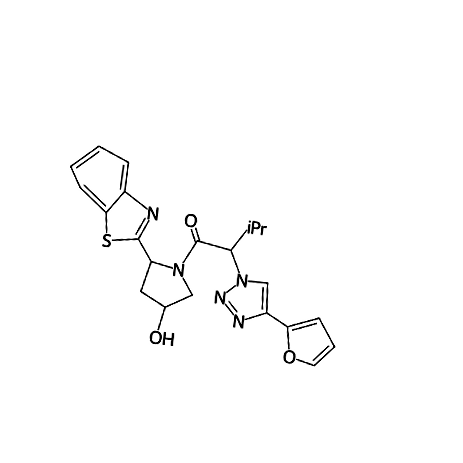 CC(C)C(C(=O)N1CC(O)CC1c1nc2ccccc2s1)n1cc(-c2ccco2)nn1